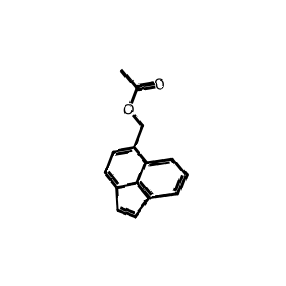 CC(=O)OCc1ccc2c3c(cccc13)C=C2